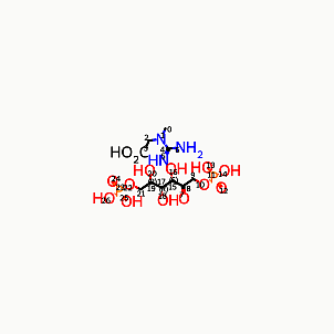 CN(CC(=O)O)C(=N)N.O=C(COP(=O)(O)O)[C@@H](O)[C@H](O)[C@H](O)COP(=O)(O)O